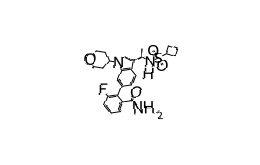 C[C@@H](NS(=O)(=O)C1CCC1)c1cn(C2CCOCC2)c2cc(-c3c(F)cccc3C(N)=O)ccc12